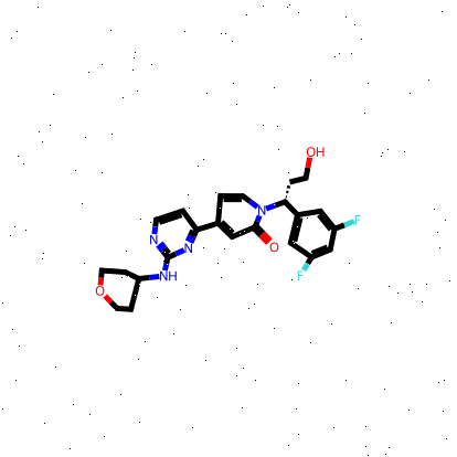 O=c1cc(-c2ccnc(NC3CCOCC3)n2)ccn1[C@H](CCO)c1cc(F)cc(F)c1